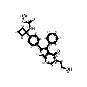 CC(C)(C)OC(=O)NC1(c2ccc(-c3oc4ncn(CCO)c(=O)c4c3-c3ccccc3)cc2)CCC1